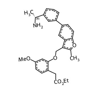 CCOC(=O)Cc1ccc(OC)cc1OCc1c(C)oc2ccc(-c3cccc([C@@H](C)N)c3)cc12